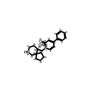 CO[C@@]1(Cn2ccc(-c3ccccc3)cc2=O)CCNCC12CCCC2